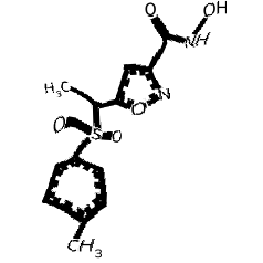 Cc1ccc(S(=O)(=O)C(C)c2cc(C(=O)NO)no2)cc1